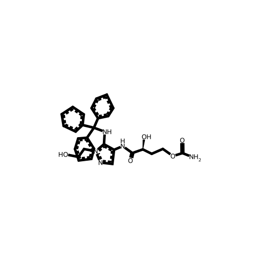 NC(=O)OCC[C@H](O)C(=O)Nc1cnn(CCO)c1NC(c1ccccc1)(c1ccccc1)c1ccccc1